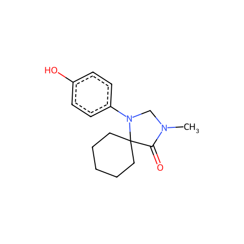 CN1CN(c2ccc(O)cc2)C2(CCCCC2)C1=O